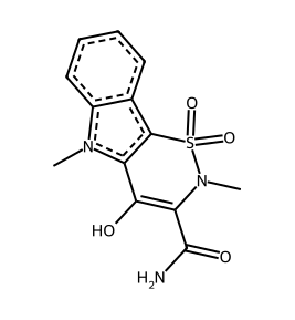 CN1C(C(N)=O)=C(O)c2c(c3ccccc3n2C)S1(=O)=O